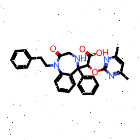 Cc1cc(C)nc(OC(C(=O)O)C2(c3ccccc3)NCC(=O)N(CCc3ccccc3)c3ccccc32)n1